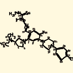 CN(C)[C@@H]1CCN(c2cc(N3CCN(c4ccc(Cl)cc4)CC3)c(F)cc2C=NNC(N)=S)C1